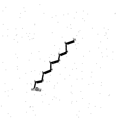 [CH2]CCCC=CC=CC=CC=CC=C